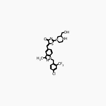 Cc1nn(Cc2ccc(Cl)cc2C(F)(F)F)c2ccc(/C=C3\SC(N4CCNC(CO)C4)=NC3=O)cc12